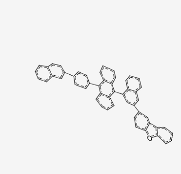 c1ccc2cc(-c3ccc(-c4c5ccccc5c(-c5cc(-c6ccc7oc8ccccc8c7c6)cc6ccccc56)c5ccccc45)cc3)ccc2c1